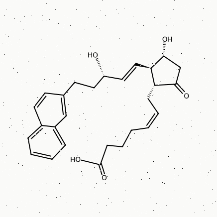 O=C(O)CCC/C=C\C[C@H]1C(=O)C[C@@H](O)[C@@H]1/C=C/[C@@H](O)CCc1ccc2ccccc2c1